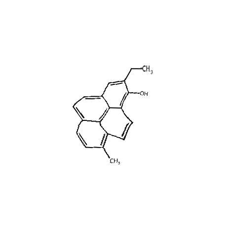 CCc1cc2ccc3ccc(C)c4ccc(c1O)c2c34